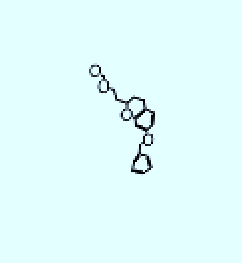 O=COCCC1CCc2ccc(OCc3ccccc3)cc2O1